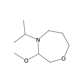 COC1COCCCN1C(C)C